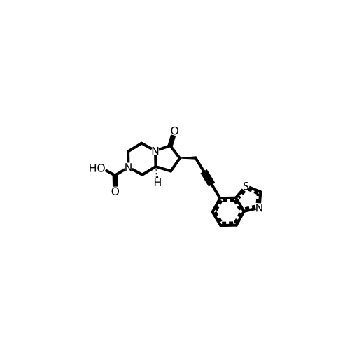 O=C(O)N1CCN2C(=O)[C@@H](CC#Cc3cccc4ncsc34)C[C@H]2C1